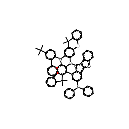 CC(C)(C)c1ccc(N2c3cc4c(cc3B3c5c2cc2c(c5-c5cc(N(c6ccccc6)c6ccccc6)cc6c7oc8ccccc8c7n3c56)C(C)(C)c3ccccc3-2)Oc2ccccc2C4(C)C)c(-c2ccccc2)c1